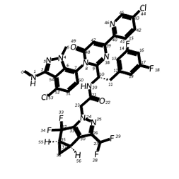 CNc1nn(C)c2c(-n3c([C@H](Cc4cc(F)cc(F)c4)NC(=O)Cn4nc(C(F)F)c5c4C(F)(F)[C@@H]4C[C@H]54)nc(-c4ccc(Cl)cn4)cc3=O)ccc(Cl)c12